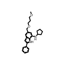 COCCCOCc1cc(NC2CCCC2)c2[nH]c(-c3ccccc3)cc2c1